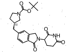 CC(C)(C)OC(=O)N1CC[C@H](Cc2ccc3c(c2)CN(C2CCC(=O)NC2=O)C3=O)C1